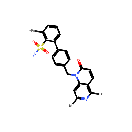 CCc1cc2c(ccc(=O)n2Cc2ccc(-c3cccc(C(C)(C)C)c3S(N)(=O)=O)cc2)c(CC)n1